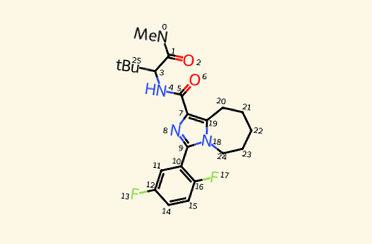 CNC(=O)C(NC(=O)c1nc(-c2cc(F)ccc2F)n2c1CCCCC2)C(C)(C)C